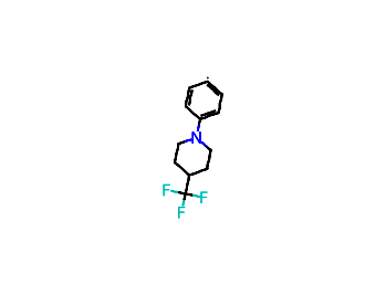 FC(F)(F)C1CCN(c2cc[c]cc2)CC1